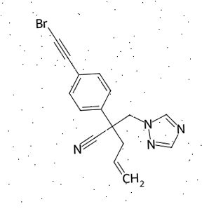 C=CCC(C#N)(Cn1cncn1)c1ccc(C#CBr)cc1